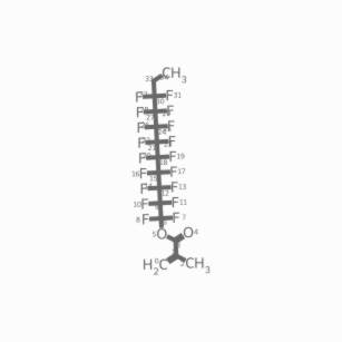 C=C(C)C(=O)OC(F)(F)C(F)(F)C(F)(F)C(F)(F)C(F)(F)C(F)(F)C(F)(F)C(F)(F)C(F)(F)CC